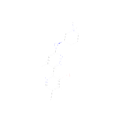 Cc1cnc(-c2nnc(N[C@@H]3CCCN(C)C3)cc2C)c(O)c1